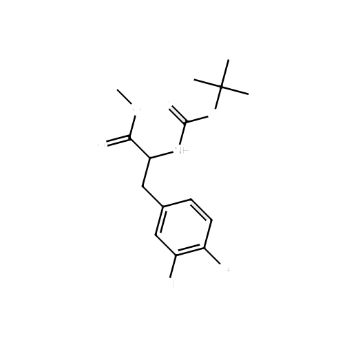 COC(=O)C(Cc1ccc(Br)c(Cl)c1)NC(=O)OC(C)(C)C